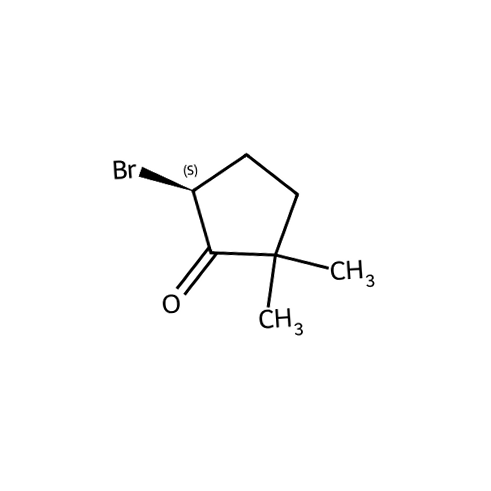 CC1(C)CC[C@H](Br)C1=O